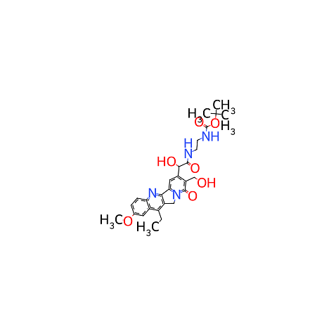 CCc1c2c(nc3ccc(OC)cc13)-c1cc(C(O)C(=O)NCCNC(=O)OC(C)(C)C)c(CO)c(=O)n1C2